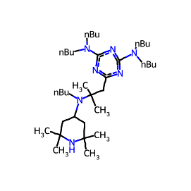 CCCCN(CCCC)c1nc(CC(C)(C)N(CCCC)C2CC(C)(C)NC(C)(C)C2)nc(N(CCCC)CCCC)n1